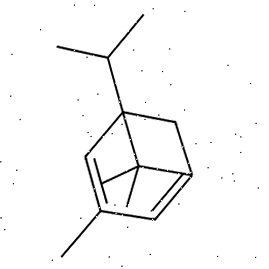 CC1=CC2(C(C)C)CC(=C1)C2(C)C